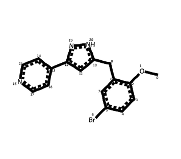 COc1ccc(Br)cc1Cc1cc(-c2ccncc2)n[nH]1